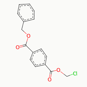 O=C(OCCl)c1ccc(C(=O)OCc2ccccc2)cc1